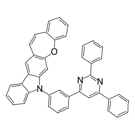 C1=Cc2cc3c4ccccc4n(-c4cccc(-c5cc(-c6ccccc6)nc(-c6ccccc6)n5)c4)c3cc2Oc2ccccc21